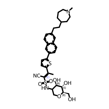 C/C(=C(/C#N)S(=O)(=O)NC1CO[C@H](CO)[C@@H](O)[C@@H]1O)c1ccc(-c2ccc3cc(CCC4CCCN(C)CC4)ccc3c2)s1